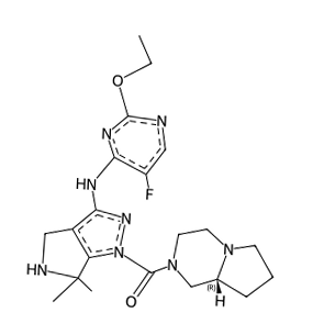 CCOc1ncc(F)c(Nc2nn(C(=O)N3CCN4CCC[C@@H]4C3)c3c2CNC3(C)C)n1